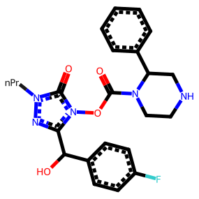 CCCn1nc(C(O)c2ccc(F)cc2)n(OC(=O)N2CCNCC2c2ccccc2)c1=O